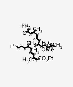 CCOC(=O)C=C(C)C=CCC(C)CCCC(C)C.COC(C)(C)CCCC(C)CC=CC(C)=CC(=O)OC(C)C